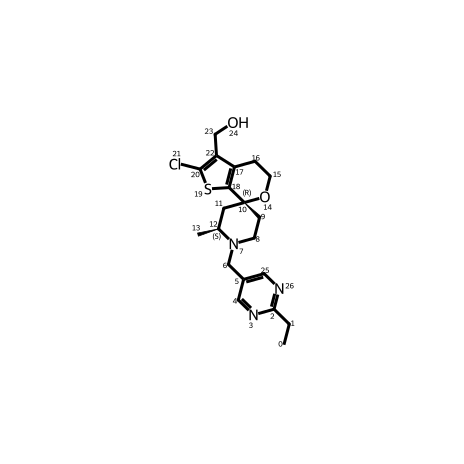 CCc1ncc(CN2CC[C@]3(C[C@@H]2C)OCCc2c3sc(Cl)c2CO)cn1